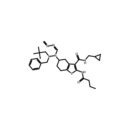 C=N/N=C\N(C1CCc2sc(NC(=O)CCC)c(C(=O)NCC3CC3)c2C1)N(Cc1ccccc1)CC(C)(C)C